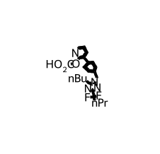 CCCCc1nc(C(F)(F)CCC)nn1Cc1ccc(-c2cccnc2OC(=O)O)cc1